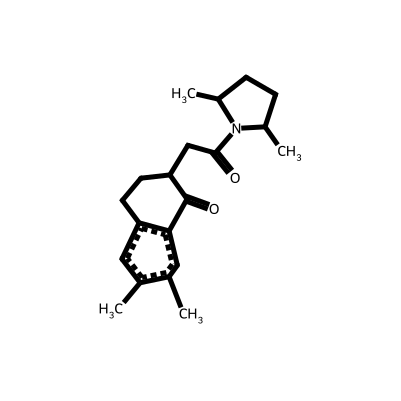 Cc1cc2c(cc1C)C(=O)C(CC(=O)N1C(C)CCC1C)CC2